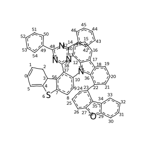 C1=CCC2C(=C1)Sc1ccc(-n3c4ccccc4c4cccc(-c5cccc6oc7ccccc7c56)c43)c(-c3nc(-c4ccccc4)nc(-c4ccccc4)n3)c12